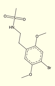 COc1cc(CCNS(C)(=O)=O)c(OC)cc1Br